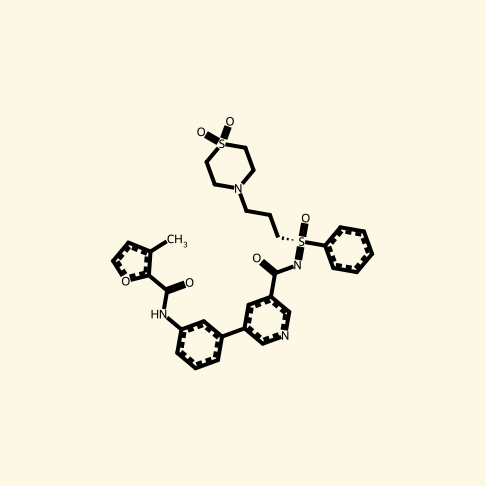 Cc1ccoc1C(=O)Nc1cccc(-c2cncc(C(=O)N=[S@](=O)(CCCN3CCS(=O)(=O)CC3)c3ccccc3)c2)c1